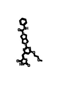 COCCOc1cc(/C=C2\SC(=O)NC2=O)nc(N2CC3CN(C(=O)Nc4ccccc4)CC3C2)n1